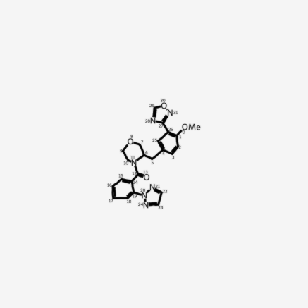 COc1ccc(CC2COCCN2C(=O)c2ccccc2-n2nccn2)cc1-c1ncon1